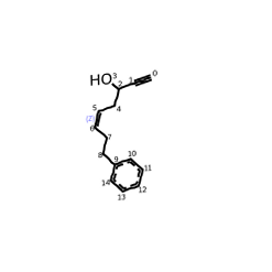 C#CC(O)C/C=C\CCc1ccccc1